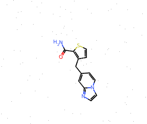 NC(=O)c1sccc1Cc1ccn2ccnc2c1